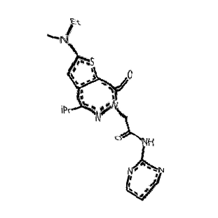 CCN(C)c1cc2c(C(C)C)nn(CC(=O)Nc3ncccn3)c(=O)c2s1